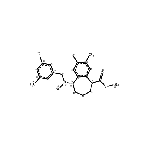 Cc1cc2c(cc1C(F)(F)F)N(C(=O)OC(C)(C)C)CCC[C@@H]2N(C#N)Cc1cc(F)cc(C(F)(F)F)c1